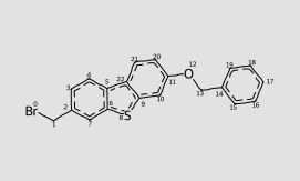 BrCc1ccc2c(c1)sc1cc(OCc3ccccc3)ccc12